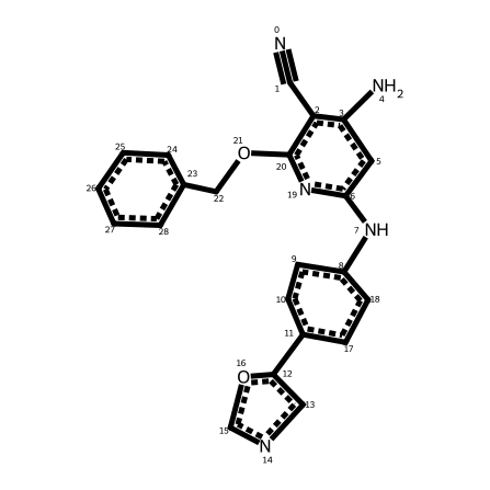 N#Cc1c(N)cc(Nc2ccc(-c3cnco3)cc2)nc1OCc1ccccc1